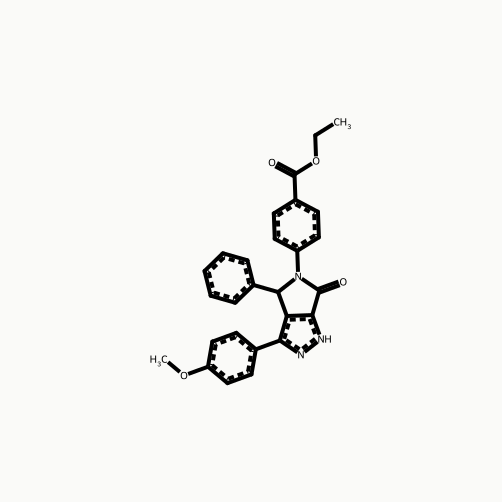 CCOC(=O)c1ccc(N2C(=O)c3[nH]nc(-c4ccc(OC)cc4)c3C2c2ccccc2)cc1